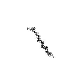 CC(=O)OCCNCCOC(=O)COC(=O)COC(=O)COC(=O)COC(=O)COC(=O)COC(C)=O